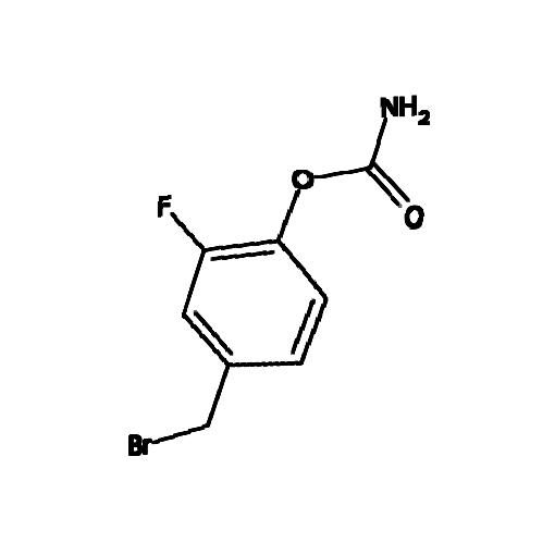 NC(=O)Oc1ccc(CBr)cc1F